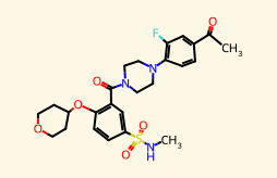 CNS(=O)(=O)c1ccc(OC2CCOCC2)c(C(=O)N2CCN(c3ccc(C(C)=O)cc3F)CC2)c1